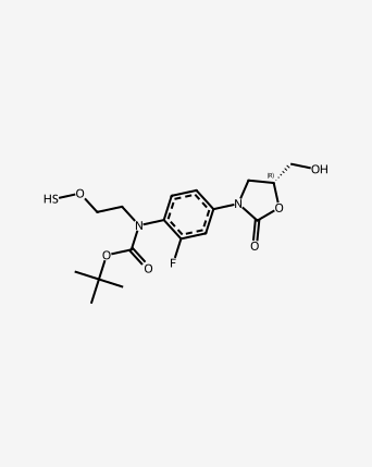 CC(C)(C)OC(=O)N(CCOS)c1ccc(N2C[C@H](CO)OC2=O)cc1F